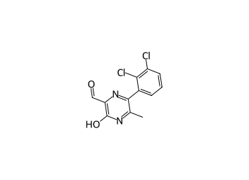 Cc1nc(O)c(C=O)nc1-c1cccc(Cl)c1Cl